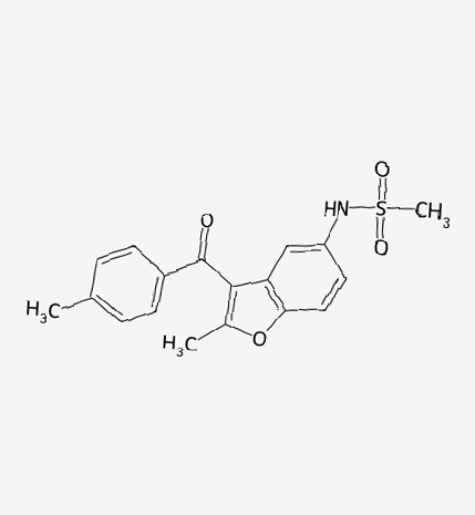 Cc1ccc(C(=O)c2c(C)oc3ccc(NS(C)(=O)=O)cc23)cc1